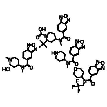 CN(C(=O)c1ccc2nonc2c1)C1CCN(C(=O)O)C(C(C)(C)C)C1.CN(C(=O)c1ccc2nonc2c1)C1CCNCC1.CN1CCC(N(C)C(=O)c2ccc3nonc3c2)CC1.Cl.O=C(c1ccc2nonc2c1)N(CC(F)(F)F)C1CCOCC1